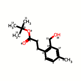 Cc1ccc(CCC(=O)OC(C)(C)C)c(CO)c1